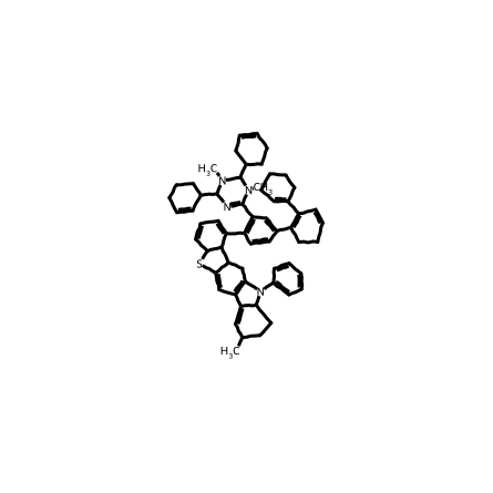 CC1C=C2C3=C(CC4C(=C3)SC3C=CC=C(c5ccc(C6=C(C7=CCCCC7)C=CCC6)cc5C5=NC(C6C=CCCC6)N(C)C(C6CC=CCC6)N5C)C34)N(c3ccccc3)C2CC1